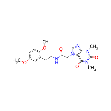 COc1ccc(OC)c(CCNC(=O)Cn2cnc3c2c(=O)n(C)c(=O)n3C)c1